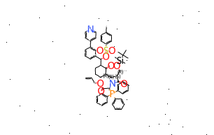 C=CCOC(=O)C(N1C(=O)[C@H]([C@@H](C)O[Si](C)(C)C(C)(C)C)[C@H]1[C@H]1CCCC(C(OS(=O)(=O)c2ccc(C)cc2)c2cccc(-c3ccncc3)c2)C1=O)=P(c1ccccc1)(c1ccccc1)c1ccccc1